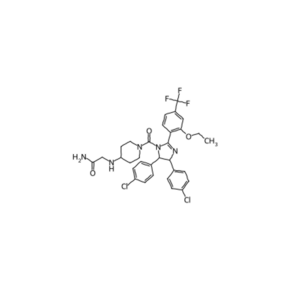 CCOc1cc(C(F)(F)F)ccc1C1=NC(c2ccc(Cl)cc2)C(c2ccc(Cl)cc2)N1C(=O)N1CCC(NCC(N)=O)CC1